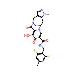 Cc1cc(F)c(CNC(=O)c2cn3c(c(O)c2=O)C(=O)N2Cc4cnn(C)c4CC3C2)c(F)c1